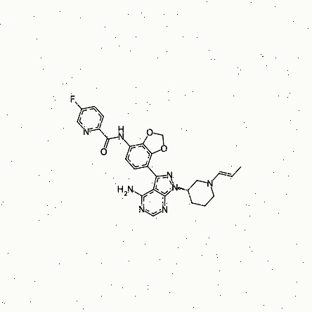 CC=CN1CCC[C@@H](n2nc(-c3ccc(NC(=O)c4ccc(F)cn4)c4c3OCO4)c3c(N)ncnc32)C1